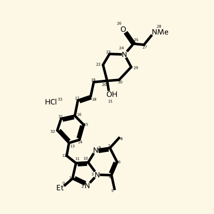 CCc1nn2c(C)cc(C)nc2c1Cc1ccc(C=CCC2(O)CCN(C(=O)CNC)CC2)cc1.Cl